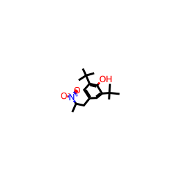 CC(Cc1cc(C(C)(C)C)c(O)c(C(C)(C)C)c1)[N+](=O)[O-]